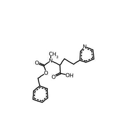 CN(C(=O)OCc1ccccc1)C(CCc1cccnc1)C(=O)O